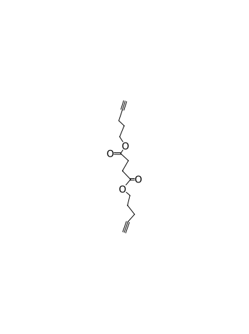 C#CCCCOC(=O)CCC(=O)OCCCC#C